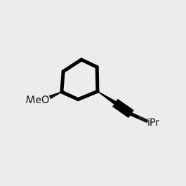 CO[C@H]1CCC[C@@H](C#CC(C)C)C1